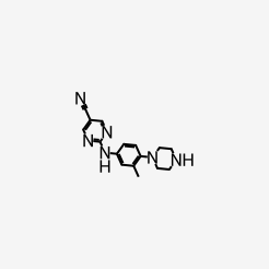 Cc1cc(Nc2ncc(C#N)cn2)ccc1N1CCNCC1